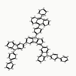 c1ccc(-c2ccc(-n3c4ccccc4c4cc(-c5ccc6c(c5)c5cc(-c7ccc8c(c7)c7ccccc7n8-c7ccc(-c8ccccc8)cc7)ccc5n6-c5ccc(-c6c7ccccc7c(-c7ccccc7)c7ccccc67)cc5)ccc43)cc2)cc1